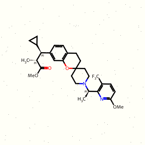 COC(=O)[C@H](C)[C@H](c1ccc2c(c1)OC1(CC2)CCN([C@H](C)c2nc(OC)ccc2C(F)(F)F)CC1)C1CC1